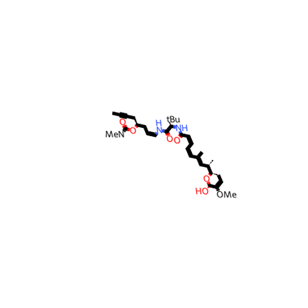 CC#CC[C@@H](C/C=C\NC(=O)[C@@H](NC(=O)\C=C/C=C\C(C)=C\[C@H](C)[C@@H]1CC=C(OC)[C@H](O)O1)C(C)(C)C)OC(=O)NC